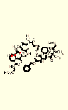 CNCC(=O)N(C)C(C)(C)C(=O)NC[C@@H](NC(=O)OCc1ccccc1)C(=O)N1CCCC[C@H]1C(=O)NCC(=O)N(C)CC(=O)N(C)[C@H](C(=O)NC[C@@H](NC(=O)OC(C)(C)C)C(=O)N1CCCC[C@H]1C(=O)NCC(=O)O)C(C)C